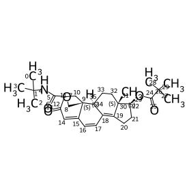 CC(C)(C)NC(=O)OC[C@]12CCC(=O)C=C1C=CC1=C3CC[C@H](OC(=O)C(C)(C)C)[C@@]3(C)CC[C@@H]12